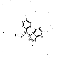 O=S(=O)(O)N(c1ccccc1)n1nnc2ccccc21